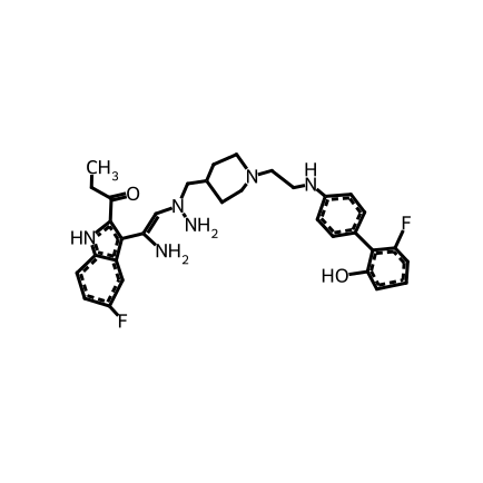 CCC(=O)c1[nH]c2ccc(F)cc2c1/C(N)=C/N(N)CC1CCN(CCNc2ccc(-c3c(O)cccc3F)cc2)CC1